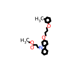 CCOC(=O)CCn1c2ccccc2c2ccc(OCCCCOc3cccc(C)c3)cc21